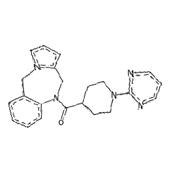 O=C(C1CCN(c2ncccn2)CC1)N1Cc2cccn2Cc2ccccc21